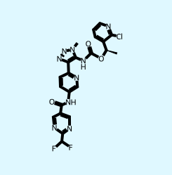 C[C@@H](OC(=O)Nc1c(-c2ccc(NC(=O)c3cnc(C(F)F)nc3)cn2)nnn1C)c1cccnc1Cl